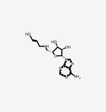 Nc1ncnc2c1ncn2[C@@H]1O[C@H](CNCC=CO)[C@@H](O)[C@H]1O